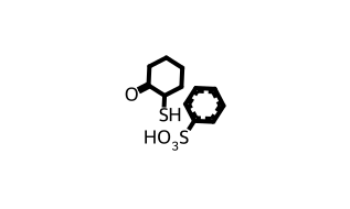 O=C1CCCCC1S.O=S(=O)(O)c1ccccc1